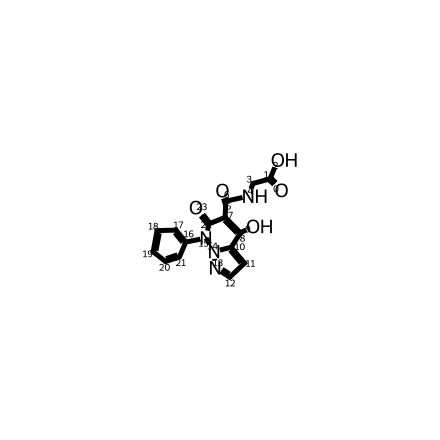 O=C(O)CNC(=O)c1c(O)c2ccnn2n(-c2ccccc2)c1=O